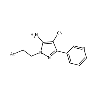 CC(=O)CCn1nc(-c2cccnc2)c(C#N)c1N